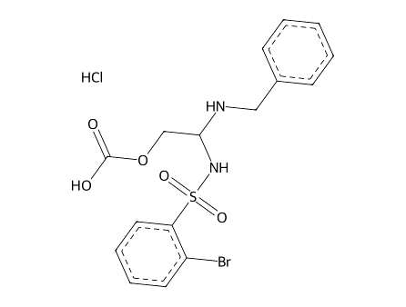 Cl.O=C(O)OCC(NCc1ccccc1)NS(=O)(=O)c1ccccc1Br